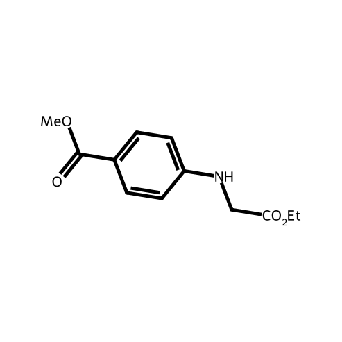 CCOC(=O)CNc1ccc(C(=O)OC)cc1